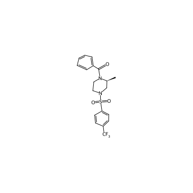 C[C@H]1CN(S(=O)(=O)c2ccc(C(F)(F)F)cc2)CCN1C(=O)c1ccccc1